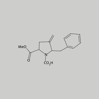 C=C1CC(C(=O)OC)N(C(=O)O)C1Cc1ccccc1